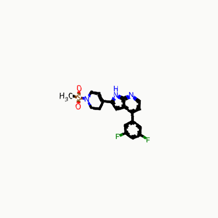 CS(=O)(=O)N1CC=C(c2cc3c(-c4cc(F)cc(F)c4)ccnc3[nH]2)CC1